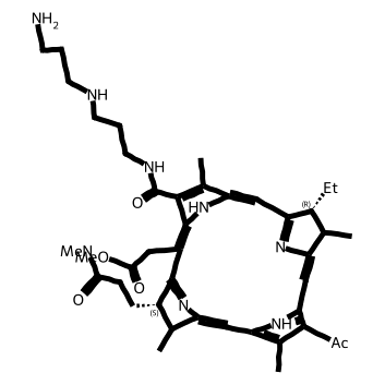 CC[C@H]1c2cc3[nH]c(c(CC(=O)OC)c4nc(cc5[nH]c(cc(n2)C1C)c(C(C)=O)c5C)C(C)[C@@H]4CCC(=O)NC)c(C(=O)NCCCNCCCN)c3C